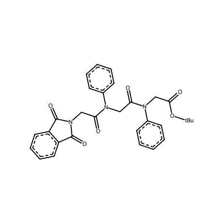 CC(C)(C)OC(=O)CN(C(=O)CN(C(=O)CN1C(=O)c2ccccc2C1=O)c1ccccc1)c1ccccc1